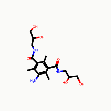 Cc1c(N)c(C)c(C(=O)NCC(O)CO)c(C)c1C(=O)NCC(O)CO